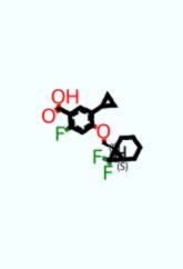 O=C(O)c1cc(C2CC2)c(OC[C@@]23CCCC[C@@H]2C3(F)F)cc1F